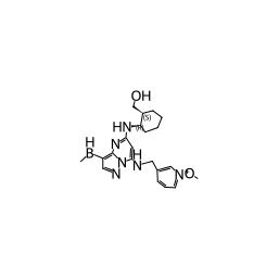 CBc1cnn2c(NCc3ccc[n+](OC)c3)cc(N[C@@H]3CCCC[C@@H]3CO)nc12